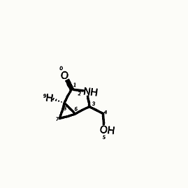 O=C1NC(CO)C2C[C@@H]12